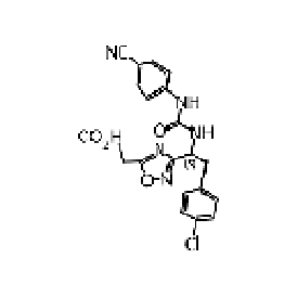 N#Cc1ccc(NC(=O)N[C@@H](Cc2ccc(Cl)cc2)c2noc(CC(=O)O)n2)cc1